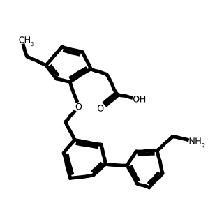 CCc1ccc(CC(=O)O)c(OCc2cccc(-c3cccc(CN)c3)c2)c1